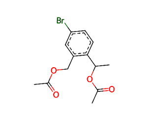 CC(=O)OCc1cc(Br)ccc1C(C)OC(C)=O